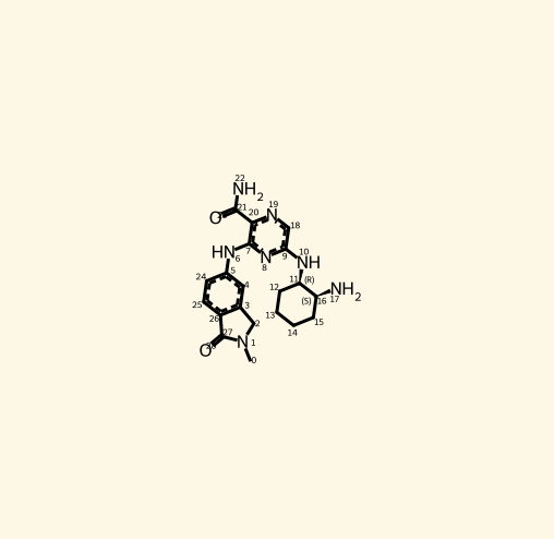 CN1Cc2cc(Nc3nc(N[C@@H]4CCCC[C@@H]4N)cnc3C(N)=O)ccc2C1=O